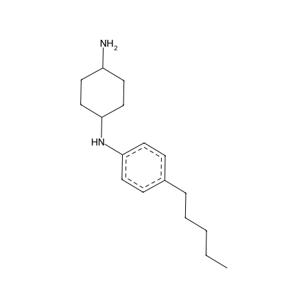 CCCCCc1ccc(NC2CCC(N)CC2)cc1